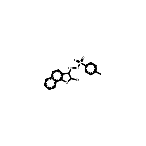 CCC1Oc2c(ccc3ccccc23)C1NOS(=O)(=O)c1ccc(C)cc1